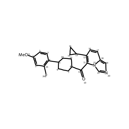 COc1ccc(C2CCC(C(=O)c3c(C4CC4)ccc4cncn34)CC2)c(F)c1